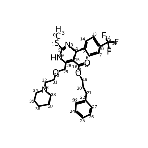 CSC1=NC(c2ccc(C(F)(F)F)cc2)C(C(=O)OCCCc2ccccc2)=C(COCCN2CCCCC2)N1